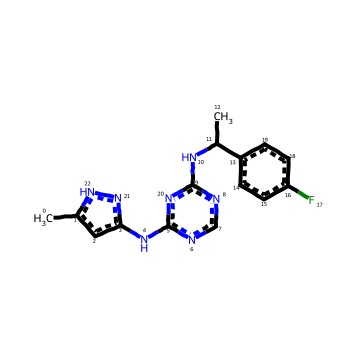 Cc1cc(Nc2ncnc(NC(C)c3ccc(F)cc3)n2)n[nH]1